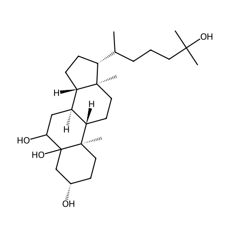 CC(CCCC(C)(C)O)[C@H]1CC[C@H]2[C@@H]3CC(O)C4(O)C[C@@H](O)CC[C@]4(C)[C@H]3CC[C@]12C